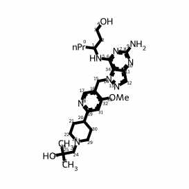 CCCC(CCO)Nc1nc(N)nc2cnn(Cc3cnc(C4CCN(CC(C)(C)O)CC4)cc3OC)c12